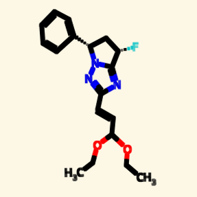 CCOC(/C=C/c1nc2n(n1)[C@H](c1ccccc1)C[C@@H]2F)OCC